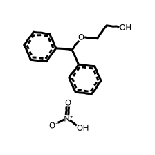 O=[N+]([O-])O.OCCOC(c1ccccc1)c1ccccc1